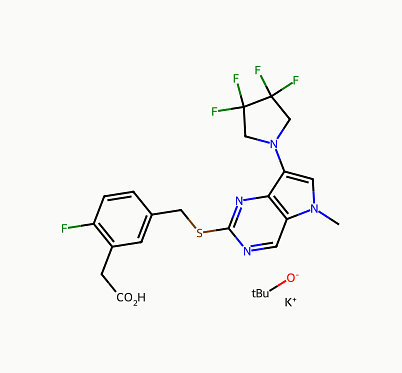 CC(C)(C)[O-].Cn1cc(N2CC(F)(F)C(F)(F)C2)c2nc(SCc3ccc(F)c(CC(=O)O)c3)ncc21.[K+]